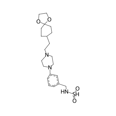 O=[SH](=O)NCc1cccc(N2CCN(CCC3CCC4(CC3)OCCO4)CC2)c1